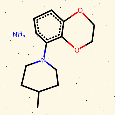 CC1CCN(c2cccc3c2OCCO3)CC1.N